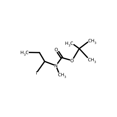 CCC(I)N(C)C(=O)OC(C)(C)C